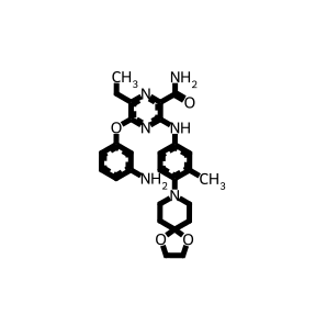 CCc1nc(C(N)=O)c(Nc2ccc(N3CCC4(CC3)OCCO4)c(C)c2)nc1Oc1cccc(N)c1